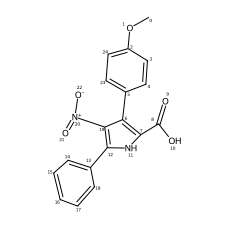 COc1ccc(-c2c(C(=O)O)[nH]c(-c3ccccc3)c2[N+](=O)[O-])cc1